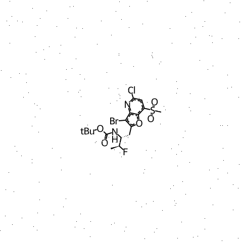 C[C@H](F)[C@@H](Cc1oc2c(S(C)(=O)=O)cc(Cl)nc2c1Br)NC(=O)OC(C)(C)C